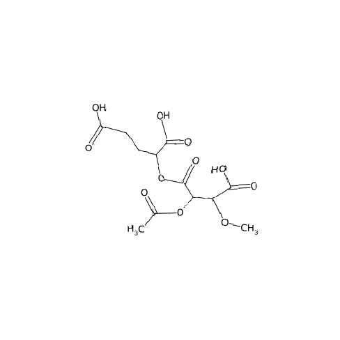 COC(C(=O)O)C(OC(C)=O)C(=O)OC(CCC(=O)O)C(=O)O